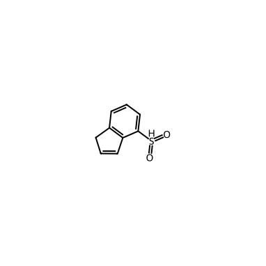 O=[SH](=O)c1cccc2c1C=CC2